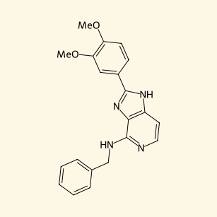 COc1ccc(-c2nc3c(NCc4ccccc4)nccc3[nH]2)cc1OC